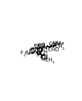 CN/C(C)=C\C(OC)=C(/C=O)CNC(=O)c1cc2c(-c3cnc(C)nc3)ccn2c(C(C)N2CCN(CC(F)(F)F)CC2)c1C